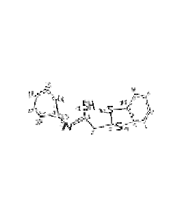 SC(CC1Sc2ccccc2S1)=Nc1ccccc1